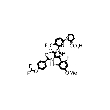 COc1cc(F)c(-c2c(NC(=O)c3ccc(OC(F)F)cc3)c(=O)n(-c3nc(N4CCC[C@H]4C(=O)O)ccc3C(F)(F)F)n2C)c(F)c1